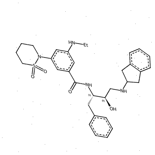 CCNc1cc(C(=O)N[C@@H](Cc2ccccc2)[C@H](O)CNC2Cc3ccccc3C2)cc(N2CCCCS2(=O)=O)c1